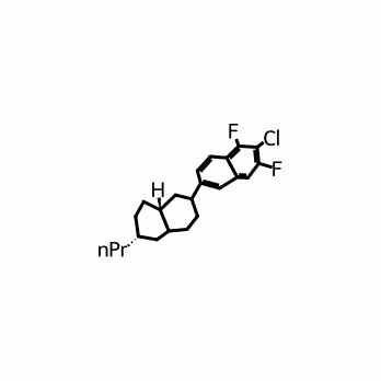 CCC[C@@H]1CC[C@@H]2CC(c3ccc4c(F)c(Cl)c(F)cc4c3)CCC2C1